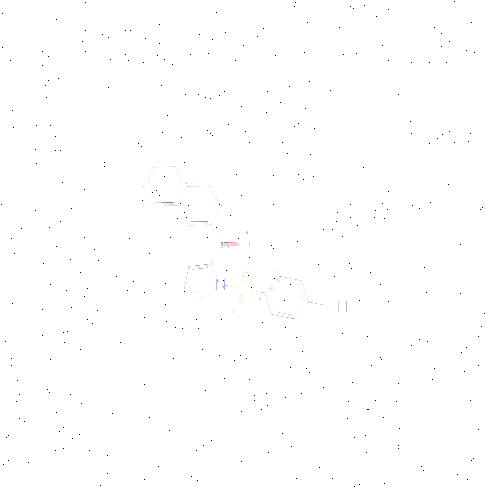 Cc1ccc(S(=O)(=O)n2cccc2C(=O)c2ccc3ccccc3c2)cc1